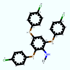 CCNc1c(Sc2ccc(Cl)cc2)cc(Sc2ccc(Cl)cc2)cc1Sc1ccc(Cl)cc1